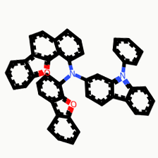 c1ccc(-n2c3ccccc3c3ccc(N(c4cccc5c4oc4ccccc45)c4cccc5ccc6c7ccccc7oc6c45)cc32)cc1